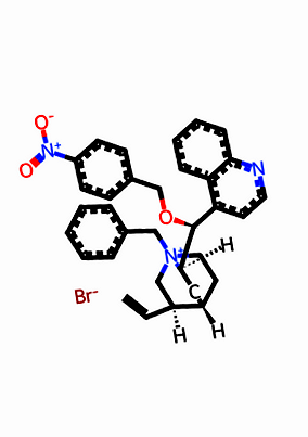 C=C[C@H]1C[N+]2(Cc3ccccc3)CC[C@H]1C[C@@H]2[C@@H](OCc1ccc([N+](=O)[O-])cc1)c1ccnc2ccccc12.[Br-]